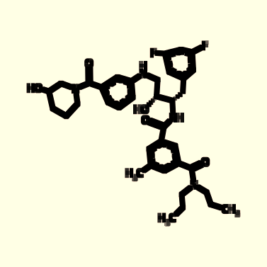 CCCN(CCC)C(=O)c1cc(C)cc(C(=O)N[C@@H](Cc2cc(F)cc(F)c2)[C@H](O)CNc2cccc(C(=O)N3CCCC(O)C3)c2)c1